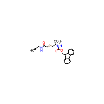 C#CCNC(=O)CSC[C@H](NC(=O)OCC1c2ccccc2-c2ccccc21)C(=O)O